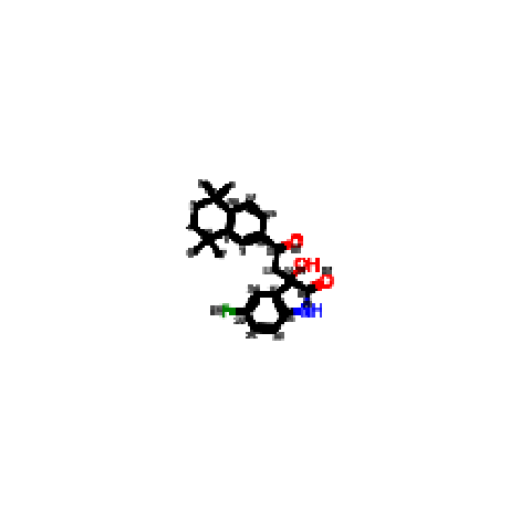 CC1(C)CCC(C)(C)c2cc(C(=O)CC3(O)C(=O)Nc4ccc(F)cc43)ccc21